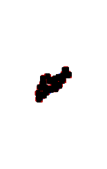 c1ccc(-c2ccc(N(c3ccccc3)c3ccc4c(c3)c3c5oc6c(ccc7c6c6ccccc6n7-c6ccccc6)c5ccc3n4-c3ccc(-c4cccc(N(c5ccccc5)c5ccc6c(c5)c5c7oc8c(ccc9c8c8ccccc8n9-c8ccc9c(c8)c8ccccc8n9-c8ccccc8)c7ccc5n6-c5ccc6oc7ccccc7c6c5)c4)cc3)cc2)cc1